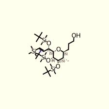 C[C@@H]1[C@H](O[Si](C)(C)C(C)(C)C)[C@H](O[Si](C)(C)C(C)(C)C)[C@H]([C@H](/C=C/[Si](C)(C)C)O[Si](C)(C)C(C)(C)C)O[C@H]1CCCO